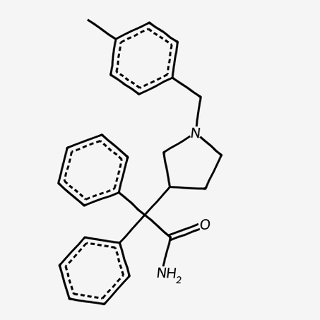 Cc1ccc(CN2CCC(C(C(N)=O)(c3ccccc3)c3ccccc3)C2)cc1